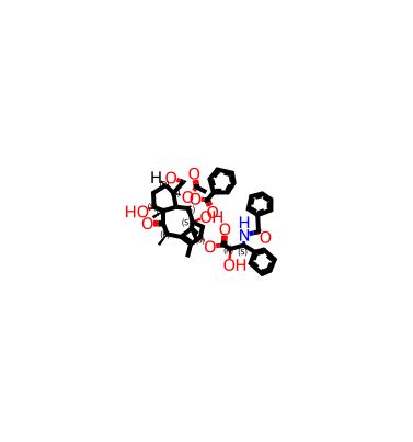 CC(=O)O[C@@]12CO[C@@H]1C[C@H](O)[C@@]1(C)C(=O)[C@H](C)C3=C(C)[C@@H](OC(=O)[C@H](O)[C@@H](NC(=O)c4ccccc4)c4ccccc4)C[C@@](O)([C@@H](OC(=O)c4ccccc4)C12)C3(C)C